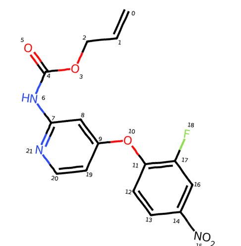 C=CCOC(=O)Nc1cc(Oc2ccc([N+](=O)[O-])cc2F)ccn1